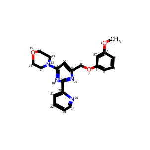 COc1cccc(OCc2cc(N3CCOCC3)nc(-c3ccccn3)n2)c1